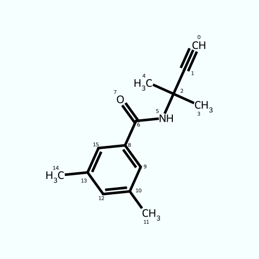 C#CC(C)(C)NC(=O)c1cc(C)cc(C)c1